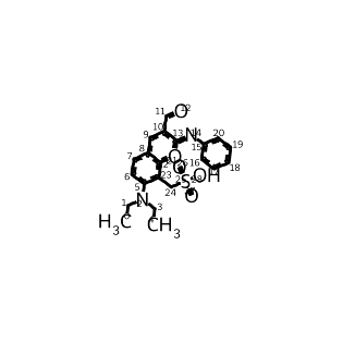 CCN(CC)c1ccc2cc(C=O)c(=Nc3ccccc3)oc2c1CS(=O)(=O)O